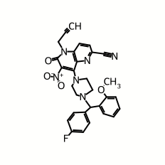 C#CCn1c(=O)c([N+](=O)[O-])c(N2CCN(C(c3ccc(F)cc3)c3ccccc3OC)CC2)c2nc(C#N)ccc21